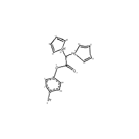 CC(C)c1ccc(OC(=O)C([SH]2C=CC=C2)[SH]2C=CC=C2)cc1